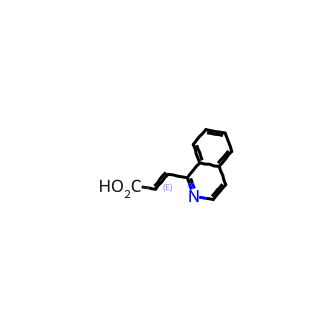 O=C(O)/C=C/c1nccc2ccccc12